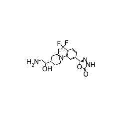 NCC(O)C1CCN(c2cc(-c3n[nH]c(=O)o3)ccc2C(F)(F)F)CC1